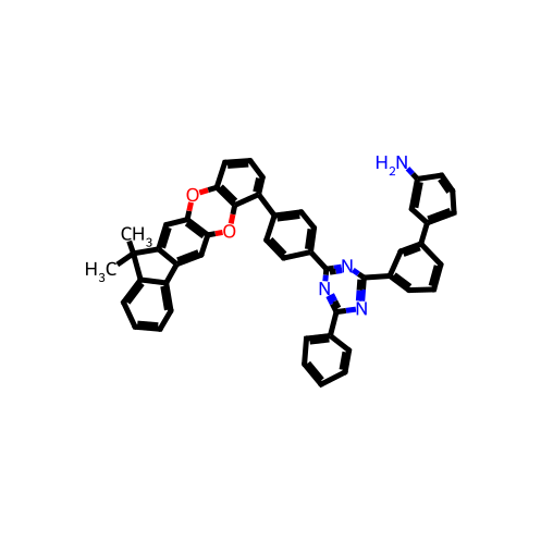 CC1(C)c2ccccc2-c2cc3c(cc21)Oc1cccc(-c2ccc(-c4nc(-c5ccccc5)nc(-c5cccc(-c6cccc(N)c6)c5)n4)cc2)c1O3